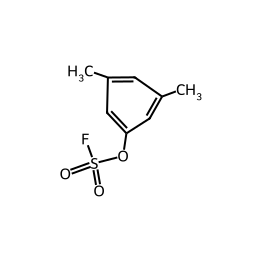 Cc1cc(C)cc(OS(=O)(=O)F)c1